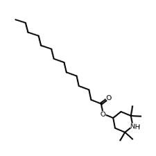 CCCCCCCCCCCCCC(=O)OC1CC(C)(C)NC(C)(C)C1